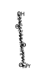 CCC[S+]([O-])CCSCSCSCCSC(=O)CCSCSCSCCC[S+]([O-])CCSCSCO